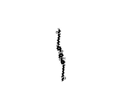 C=CC(=O)OCCCCCCCCOc1ccc(C(=O)Nc2ccc(OC(=O)c3ccc(OCCCCCCCCOC(=O)C=C)cc3)cc2C)cc1